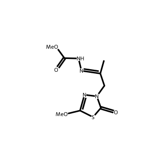 COC(=O)NN=C(C)Cn1nc(OC)sc1=O